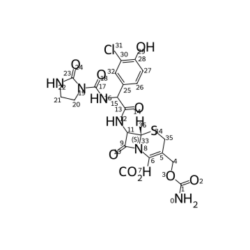 NC(=O)OCC1=C(C(=O)O)N2C(=O)C(NC(=O)C(NC(=O)N3CCNC3=O)c3ccc(O)c(Cl)c3)[C@@H]2SC1